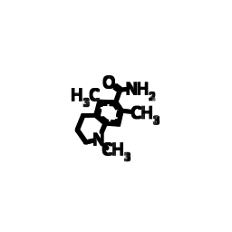 Cc1cc2c(c(C)c1C(N)=O)CCCN2C